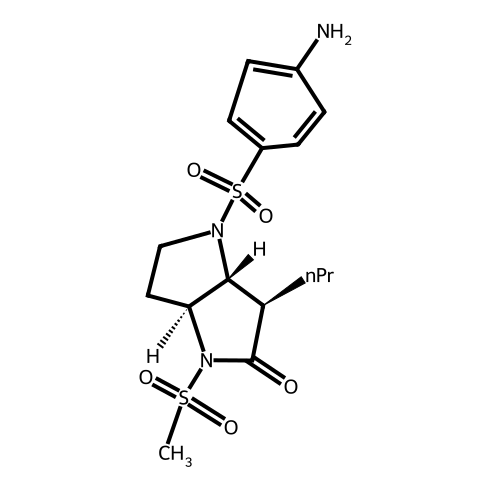 CCC[C@H]1C(=O)N(S(C)(=O)=O)[C@H]2CCN(S(=O)(=O)c3ccc(N)cc3)[C@H]12